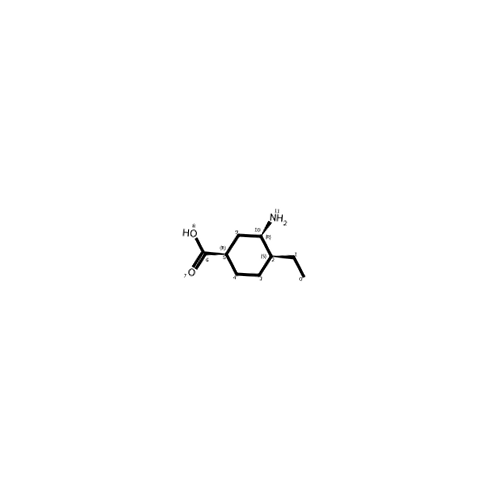 CC[C@H]1CC[C@@H](C(=O)O)C[C@H]1N